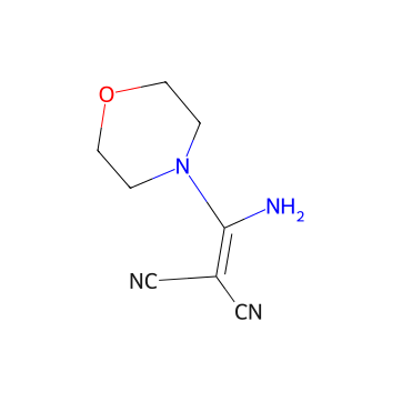 N#CC(C#N)=C(N)N1CCOCC1